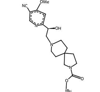 COc1cc([C@@H](O)CN2CCC3(CC2)CCN(C(=O)OC(C)(C)C)C3)ncc1C#N